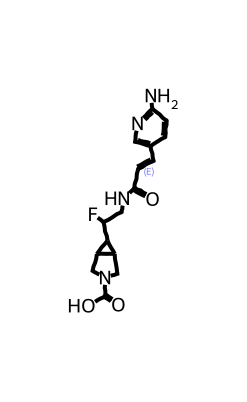 Nc1ccc(/C=C/C(=O)NCC(F)C2C3CN(C(=O)O)CC32)cn1